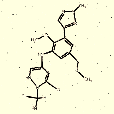 [2H]C([2H])([2H])N1NC=C(Nc2cc(COC)cc(-c3cnn(C)n3)c2OC)C=C1Cl